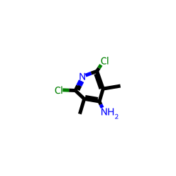 Cc1c(Cl)nc(Cl)c(C)c1N